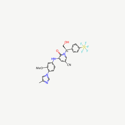 COc1cc(Nc2cc(C#N)cn([C@@H](CO)c3ccc(S(F)(F)(F)(F)F)cc3)c2=O)ccc1-n1cnc(C)c1